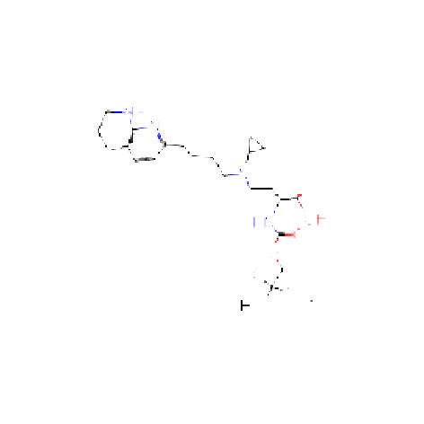 CC(C)(C)COC(=O)NC(CCN(CCCCc1ccc2c(n1)NCCC2)C1CC1)C(=O)O